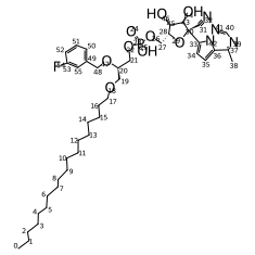 CCCCCCCCCCCCCCCCCCOC[C@H](COP(=O)(O)OC[C@H]1O[C@@](C#N)(c2ccc3c(C)ncnn23)[C@H](O)[C@@H]1O)OCc1cccc(F)c1